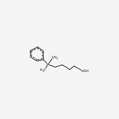 CCCCCCCCCCCC[Si](C)(C)c1ccccc1